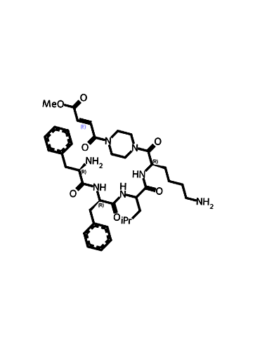 COC(=O)/C=C/C(=O)N1CCN(C(=O)[C@@H](CCCCN)NC(=O)C(CC(C)C)NC(=O)[C@@H](Cc2ccccc2)NC(=O)[C@H](N)Cc2ccccc2)CC1